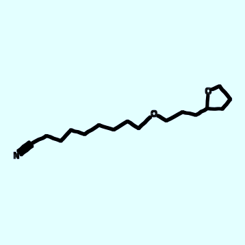 N#CCCCCCCCCOCCCC1CCCO1